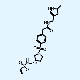 C=CS(=O)(=O)NC[C@H]1CCN(S(=O)(=O)c2ccc(CC(=O)NCC3=CNC(C)C3)cc2)C1